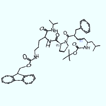 CC(C)CC(/C=C/C(Cc1ccccc1)C(=O)N1CCC[C@H]1C(=O)NC(CCCNC(=O)OCC1c2ccccc2-c2ccccc21)C(=O)NC(C)C)NC(=O)OC(C)(C)C